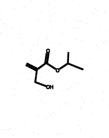 C=C(CO)C(=O)OC(C)C